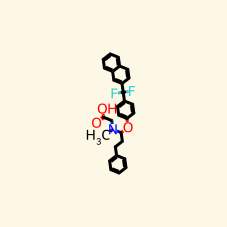 CN(CC(=O)O)C(CCc1ccccc1)Oc1ccc(C(F)(F)c2ccc3ccccc3c2)cc1